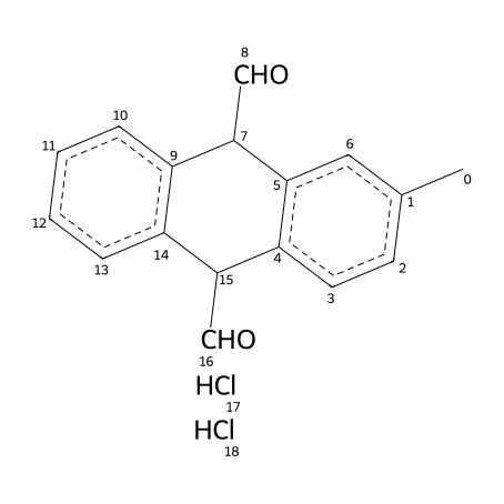 Cc1ccc2c(c1)C(C=O)c1ccccc1C2C=O.Cl.Cl